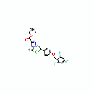 CCOC(=O)c1cc(C)n(CC(Cl)c2ccc(OCc3c(F)cc(F)cc3F)cc2)n1